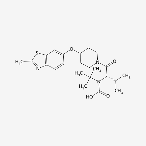 Cc1nc2ccc(OC3CCN(C(=O)[C@H](C(C)C)N(C(=O)O)C(C)(C)C)CC3)cc2s1